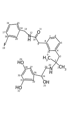 CC(C)(Cc1cccc(CC(=O)NCc2cccc(F)c2)c1)NCC(O)c1cc(O)cc(O)c1